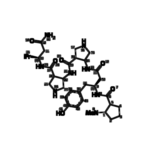 CNC1CCCC1C(=O)N[C@H](CC(=O)NC1CNCC1C(=O)NC1CNCC1C(=O)N[C@H](CC(N)=O)C(C)C)Cc1ccc(O)cc1